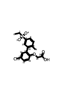 CCS(=O)(=O)c1ccc(C)c(-c2cc(Cl)ccc2OCC(=O)O)c1